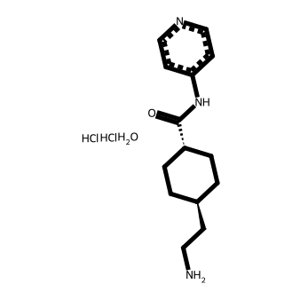 Cl.Cl.NCC[C@H]1CC[C@H](C(=O)Nc2ccncc2)CC1.O